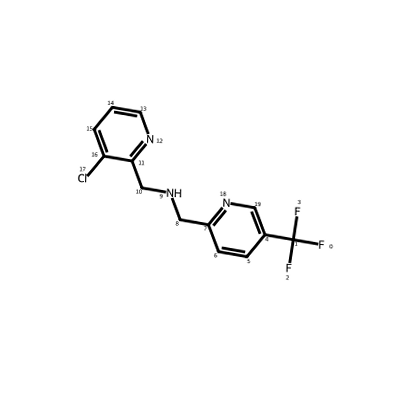 FC(F)(F)c1ccc(CNCc2ncccc2Cl)nc1